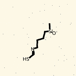 C[S+]([O-])CCCCN=CS